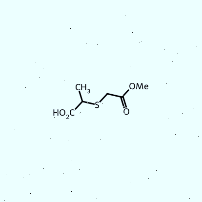 COC(=O)CSC(C)C(=O)O